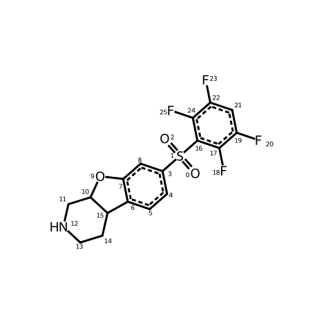 O=S(=O)(c1ccc2c(c1)OC1CNCCC21)c1c(F)c(F)cc(F)c1F